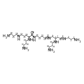 NCCCNCCCC(CNCCCCCNC(=O)C(CCCNCCCN)NCCCN)NCCCN